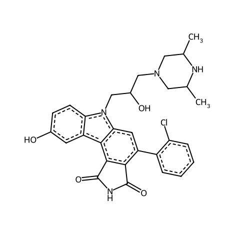 CC1CN(CC(O)Cn2c3ccc(O)cc3c3c4c(c(-c5ccccc5Cl)cc32)C(=O)NC4=O)CC(C)N1